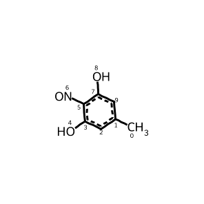 Cc1cc(O)c(N=O)c(O)c1